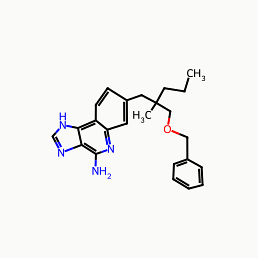 CCCC(C)(COCc1ccccc1)Cc1ccc2c(c1)nc(N)c1nc[nH]c12